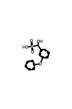 O=S(=O)(O)C(O)c1cccc(Oc2ccccc2)c1